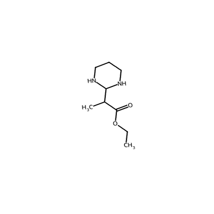 CCOC(=O)C(C)C1NCCCN1